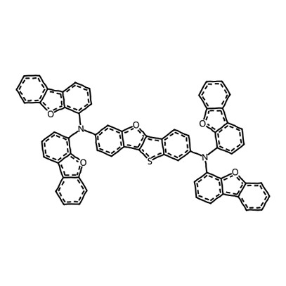 c1ccc2c(c1)oc1c(N(c3ccc4c(c3)oc3c5ccc(N(c6cccc7c6oc6ccccc67)c6cccc7c6oc6ccccc67)cc5sc43)c3cccc4c3oc3ccccc34)cccc12